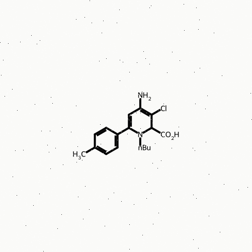 CCCCN1C(c2ccc(C)cc2)=CC(N)=C(Cl)C1C(=O)O